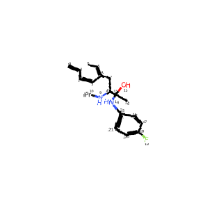 C=C/C=C\C(=C/C)CC(NC(C)C)C(C)(O)Nc1ccc(F)cc1